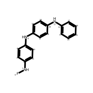 FNc1ccc(Nc2ccc(Nc3ccccc3)cc2)cc1